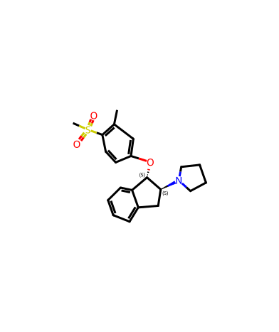 Cc1cc(O[C@H]2c3ccccc3C[C@@H]2N2CCCC2)ccc1S(C)(=O)=O